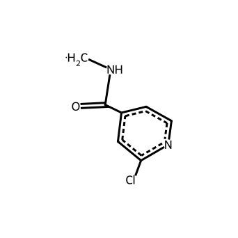 [CH2]NC(=O)c1ccnc(Cl)c1